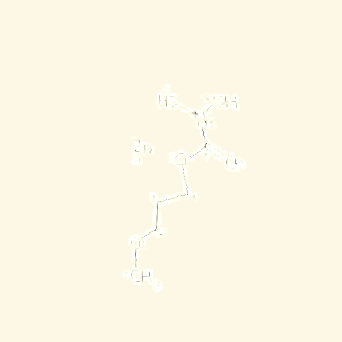 COCCCOC(=O)N(S)S.[Zn]